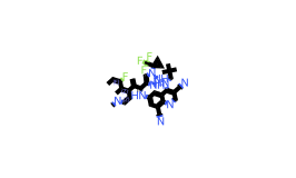 C=N\C=C/C(C(=C)[C@H](Nc1cc(C#N)c2ncc(C#N)c(NCC(C)(C)C)c2c1)C1=CN(C2(C(F)(F)F)CC2)NN1)=C(C)/C(F)=C\C